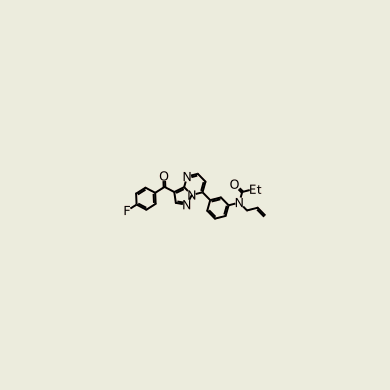 C=CCN(C(=O)CC)c1cccc(-c2ccnc3c(C(=O)c4ccc(F)cc4)cnn23)c1